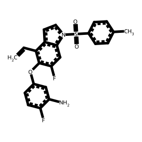 C=Cc1c(Oc2ccc(F)c(N)c2)c(F)cc2c1ccn2S(=O)(=O)c1ccc(C)cc1